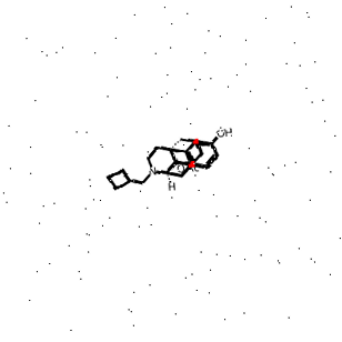 CC(=O)O[C@@]12CCCC[C@@]13CCN(CC1CCC1)[C@@H]2Cc1ccc(O)cc13